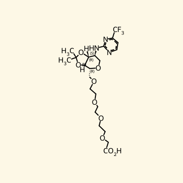 CC1(C)O[C@@H]2[C@H](O1)[C@@H](Nc1nccc(C(F)(F)F)n1)CO[C@@H]2COCCOCCOCCOCC(=O)O